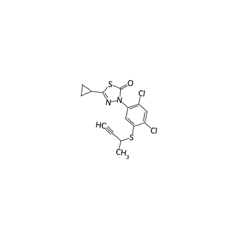 C#CC(C)Sc1cc(-n2nc(C3CC3)sc2=O)c(Cl)cc1Cl